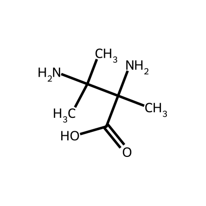 CC(C)(N)C(C)(N)C(=O)O